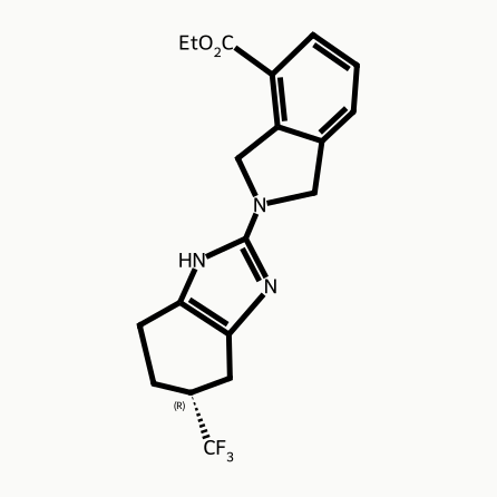 CCOC(=O)c1cccc2c1CN(c1nc3c([nH]1)CC[C@@H](C(F)(F)F)C3)C2